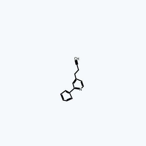 C#CCCc1ccnc(-c2ccccc2)c1